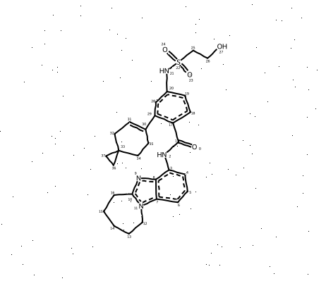 O=C(Nc1cccc2c1nc1n2CCCCC1)c1ccc(NS(=O)(=O)CCO)cc1C1=CCC2(CC1)CC2